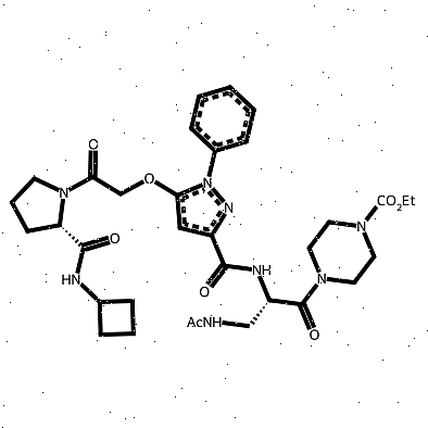 CCOC(=O)N1CCN(C(=O)[C@H](CNC(C)=O)NC(=O)c2cc(OCC(=O)N3CCC[C@H]3C(=O)NC3CCC3)n(-c3ccccc3)n2)CC1